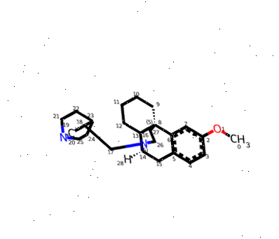 COc1ccc2c(c1)[C@]13CCCCC1[C@H](C2)N(CC1CN2CCC1CC2)CC3